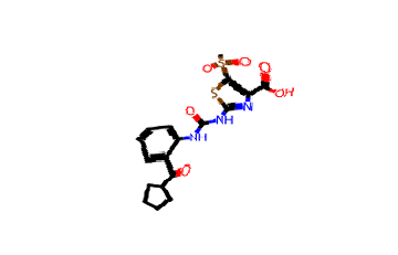 CS(=O)(=O)c1sc(NC(=O)Nc2ccccc2C(=O)C2CCCC2)nc1C(=O)O